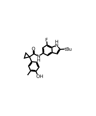 Cc1cc(C2(C(=O)Nc3cc(F)c4[nH]c(C(C)(C)C)cc4c3)CC2)ccc1O